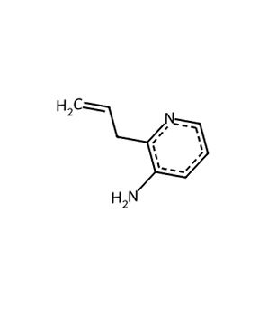 C=CCc1ncccc1N